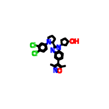 Cc1noc(C)c1-c1ccc2c(c1)nc([C@@H]1CCCN1c1ccc(Cl)c(Cl)c1)n2[C@@H]1CC[C@@H](O)C1